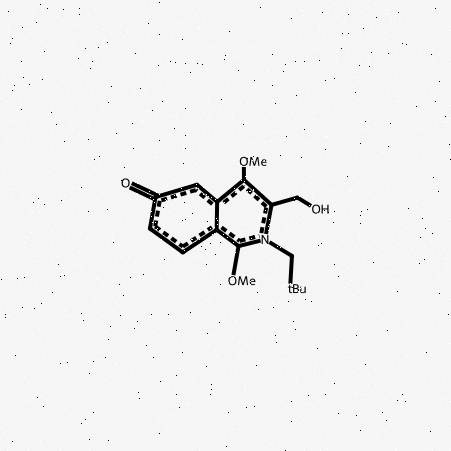 COc1c2cc(=O)ccc-2c(OC)n(CC(C)(C)C)c1CO